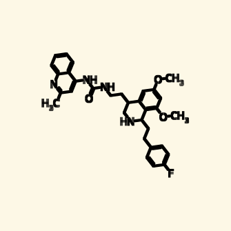 COc1cc(OC)c2c(c1)C(CCNC(=O)Nc1cc(C)nc3ccccc13)CNC2CCc1ccc(F)cc1